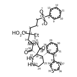 CCC(CCCS(=O)(=O)c1ccccc1)(CCC(=O)[C@@]1(C(=O)NC)NNCC[C@H]1c1ccccc1-c1cscn1)C(=O)O